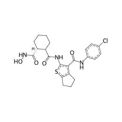 O=C(Nc1ccc(Cl)cc1)c1c(NC(=O)C2CCCC[C@H]2C(=O)NO)sc2c1CCC2